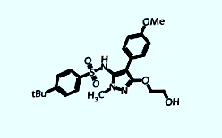 COc1ccc(-c2c(OCCO)nn(C)c2NS(=O)(=O)c2ccc(C(C)(C)C)cc2)cc1